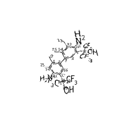 Cc1c(-c2cc(C(O)(C(F)(F)F)C(F)(F)F)c(N)c(C)c2C)cc(C(O)(C(F)(F)F)C(F)(F)F)c(N)c1C